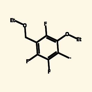 [CH2]c1c(F)c(F)c(COCC)c(F)c1OCC